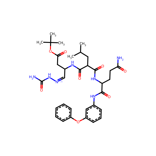 CC(C)CC(C(=O)NC(/C=N\NC(N)=O)CC(=O)OC(C)(C)C)C(=O)NC(CCC(N)=O)C(=O)Nc1cccc(Oc2ccccc2)c1